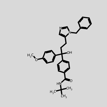 COc1ccc(C(O)(CCc2cncn2Cc2ccccc2)c2ccc(C(=O)NC(C)(C)C)cc2)cc1